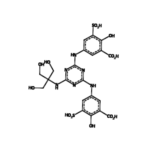 O=C(O)c1cc(Nc2nc(Nc3cc(C(=O)O)c(O)c(S(=O)(=O)O)c3)nc(NC(CO)(CO)CO)n2)cc(S(=O)(=O)O)c1O